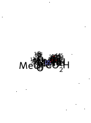 COC1=CN(OC(c2ccccc2)c2ccccc2)C(CO/N=C(\C(=O)O)c2csc(NC(c3ccccc3)(c3ccccc3)c3ccccc3)n2)CC1=O